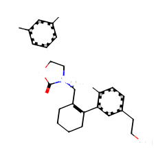 COc1ccc(CCO)cc1C1=C(CN2C(=O)O[C@H](c3cc(C(F)(F)F)cc(C(F)(F)F)c3)[C@@H]2C)CCCC1